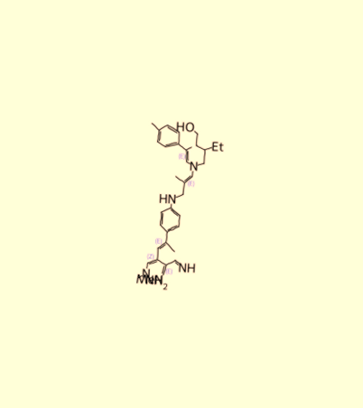 CCC(CCO)CN(/C=C(\C)CNc1ccc(/C(C)=C/C(=C/N(C)N)C(/C=N)=C\NC)cc1)/C=C(\C)c1ccc(C)cc1